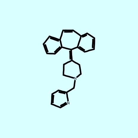 C1=Cc2ccccc2C(=C2CCN(Cc3ccccn3)CC2)c2ccccc21